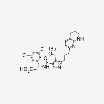 CC(C)(C)OCc1c(C(=O)NC(CC(=O)O)c2cc(Cl)cc(Cl)c2)cnn1CCCc1ccc2c(n1)NCCC2